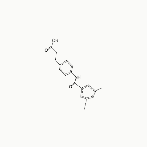 Cc1cc(C)cc(C(=O)Nc2ccc(CCC(=O)O)cc2)c1